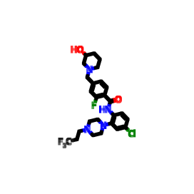 O=C(Nc1ccc(Cl)cc1N1CCN(CCC(F)(F)F)CC1)c1ccc(CN2CCCC(O)C2)cc1F